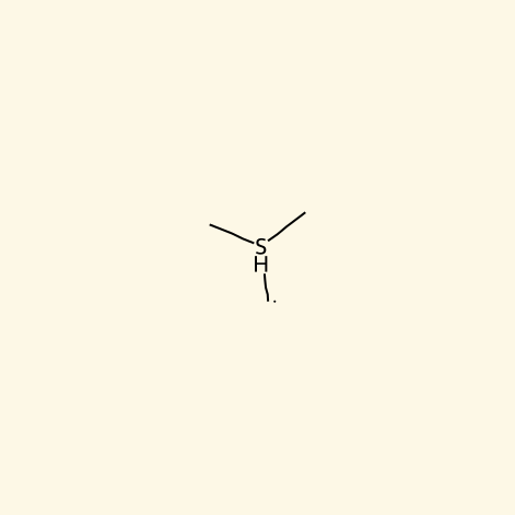 [CH2][SH](C)C